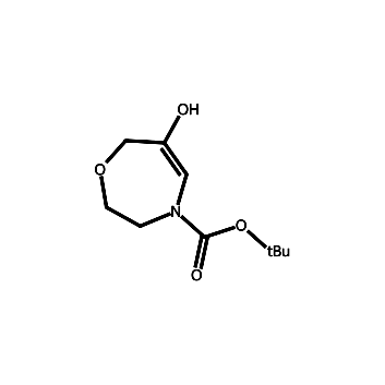 CC(C)(C)OC(=O)N1C=C(O)COCC1